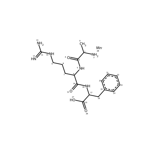 CC(N)C(=O)NC(CCCNC(=N)N)C(=O)NC(Cc1ccccc1)C(=O)O.[Mn]